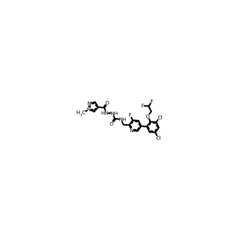 Cn1cc(C(=O)NNC(=O)NCc2ncc(-c3cc(Cl)cc(Cl)c3OCC(F)F)cc2F)cn1